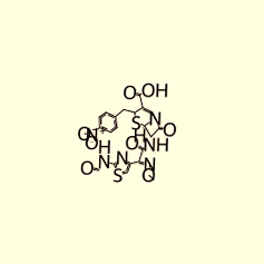 CON=C(C(=O)NC1C(=O)N2C=C(C(=O)O)C(Cc3ccc([N+](=O)[O-])cc3)S[C@H]12)c1csc(NC=O)n1